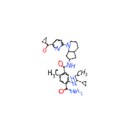 CCC(Nc1cc(C(=O)NC2CC3CCCN(c4ccc(C(=O)C5CC5)cn4)C3C2)c(C)cc1C(N)=O)C1CC1